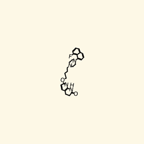 O=C1CCc2ccc(OCCCCN3CCN(c4cccc5cccc(F)c45)CC3)nc2N1